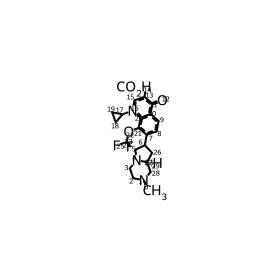 CN1CCN2CC(c3ccc4c(=O)c(C(=O)O)cn(C5CC5)c4c3OC(F)F)C[C@H]2C1